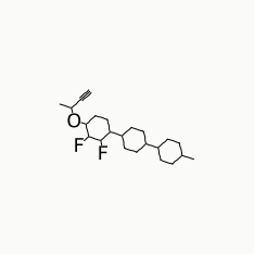 C#CC(C)OC1CCC(C2CCC(C3CCC(C)CC3)CC2)C(F)C1F